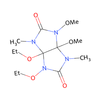 CCON1C(=O)N(C)C2(OC)N(OC)C(=O)N(C)C12OCC